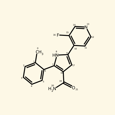 Cc1ccccc1-c1[nH]c(-c2ccncc2F)cc1C(N)=O